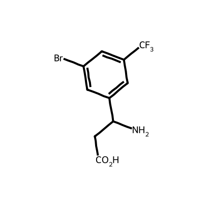 NC(CC(=O)O)c1cc(Br)cc(C(F)(F)F)c1